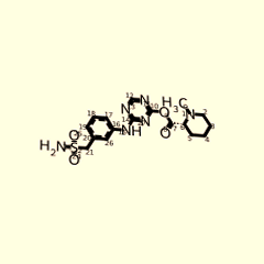 CN1CCCC[C@@H]1C(=O)Oc1ncnc(Nc2cccc(CS(N)(=O)=O)c2)n1